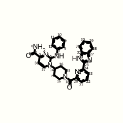 NC(=O)C1=NC(Nc2ccccc2)N(C2CCN(C(=O)c3cccc(-c4nc5ccccc5[nH]4)n3)CC2)C=C1